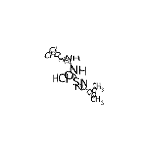 COc1ccc(-c2cnc(SCC(=O)NCC[C@@H]3C[C@@H](Cc4ccc(Cl)c(Cl)c4)CN3)nc2)cc1OC.Cl